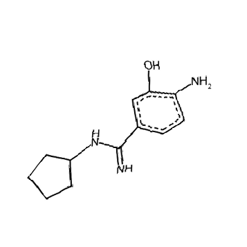 N=C(NC1CCCC1)c1ccc(N)c(O)c1